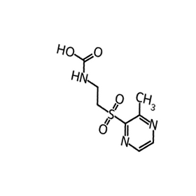 Cc1nccnc1S(=O)(=O)CCNC(=O)O